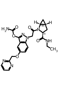 CCNC(=O)[C@@H]1C[C@H]2C[C@H]2N1C(=O)Cn1nc(OC(N)=O)c2cc(OCc3ncccn3)ccc21